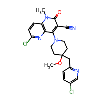 COC1(Cc2ccc(Cl)cn2)CCN(c2c(C#N)c(=O)n(C)c3ccc(Cl)nc23)CC1